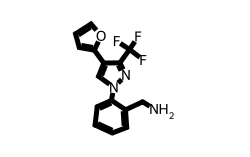 NCc1ccccc1-n1cc(-c2ccco2)c(C(F)(F)F)n1